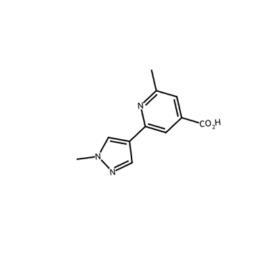 Cc1cc(C(=O)O)cc(-c2cnn(C)c2)n1